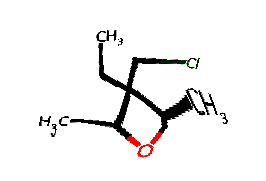 CCC1(CCl)C(C)OC1C